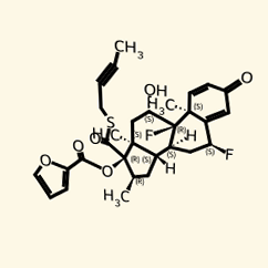 CC#CCSC(=O)[C@@]1(OC(=O)c2ccco2)[C@H](C)C[C@H]2[C@@H]3C[C@H](F)C4=CC(=O)C=C[C@]4(C)[C@@]3(F)[C@@H](O)C[C@@]21C